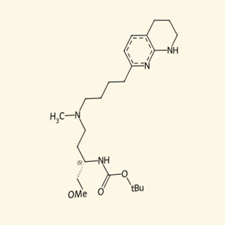 COC[C@H](CCN(C)CCCCc1ccc2c(n1)NCCC2)NC(=O)OC(C)(C)C